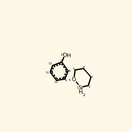 C1CC[SiH2]OC1.Oc1ccccc1